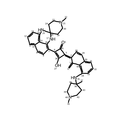 C=c1/c(=C2/C(=O)C(c3ccc4cccc5c4c3NC3(CCN(C)CC3)N5)=C2O)ccc2cccc(NC3(C)CCN(C)CC3)c12